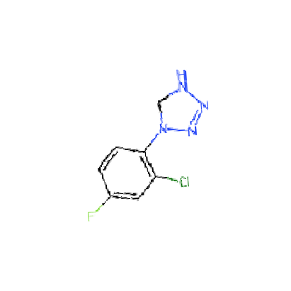 Fc1ccc(N2CNN=N2)c(Cl)c1